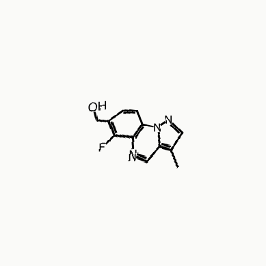 Cc1cnn2c1cnc1c(F)c(CO)ccc12